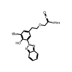 CCCCCCC(=C=O)COCCc1cc(-n2nc3ccccc3n2)c(O)c(C(C)(C)C)c1